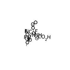 Cc1ccc(S(=O)(=O)n2cc(-c3nc(NC4C5CCC(CC5)C4C(=O)O)c(F)c(-c4ccc(Oc5ccccc5)cc4)c3C#N)c3cc(F)cc(F)c32)cc1